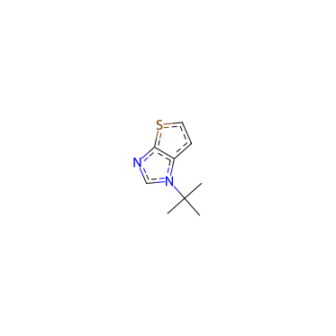 CC(C)(C)n1cnc2sccc21